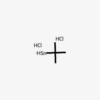 C[C](C)(C)[SnH].Cl.Cl